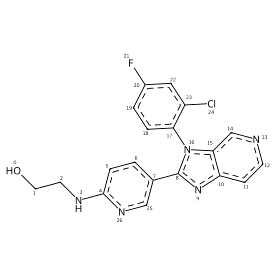 OCCNc1ccc(-c2nc3ccncc3n2-c2ccc(F)cc2Cl)cn1